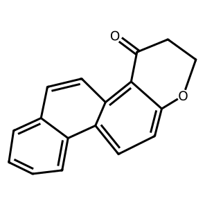 O=C1CCOc2ccc3c(ccc4ccccc43)c21